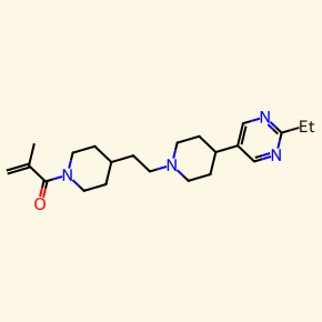 C=C(C)C(=O)N1CCC(CCN2CCC(c3cnc(CC)nc3)CC2)CC1